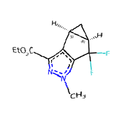 CCOC(=O)c1nn(C)c2c1[C@H]1C[C@H]1C2(F)F